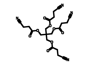 N#CCCC(=O)OCC(COC(=O)CCC#N)(COC(=O)CCC#N)COC(=O)CCC#N